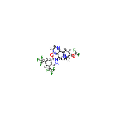 CC(NC(=O)c1cc(C(F)(F)F)cc(C(F)(F)F)c1)c1nccnc1-c1ccc(OC(F)F)cn1